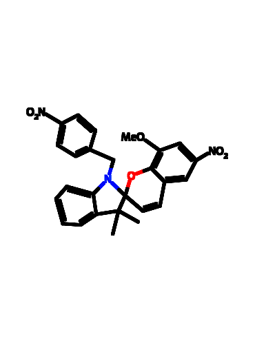 COc1cc([N+](=O)[O-])cc2c1OC1(C=C2)N(Cc2ccc([N+](=O)[O-])cc2)c2ccccc2C1(C)C